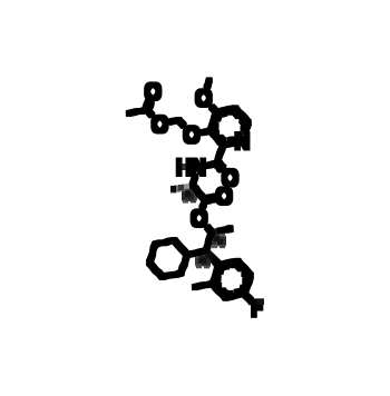 COc1ccnc(C(=O)N[C@@H](C)C(=O)O[C@@H](C)[C@@H](c2ccc(F)cc2C)C2CCCCC2)c1OCOC(C)=O